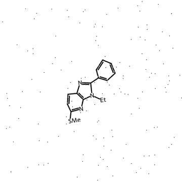 CCn1c(-c2ccccc2)nc2ccc(SC)nc21